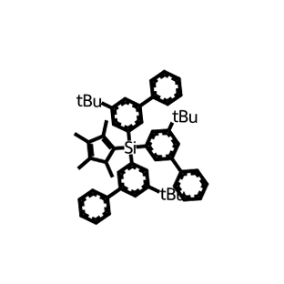 CC1=C(C)C(C)C([Si](c2cc(-c3ccccc3)cc(C(C)(C)C)c2)(c2cc(-c3ccccc3)cc(C(C)(C)C)c2)c2cc(-c3ccccc3)cc(C(C)(C)C)c2)=C1C